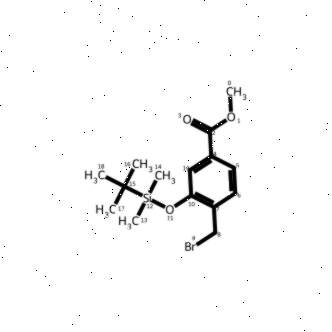 COC(=O)c1ccc(CBr)c(O[Si](C)(C)C(C)(C)C)c1